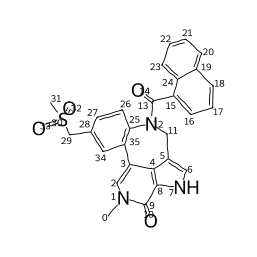 Cn1cc2c3c(c[nH]c3c1=O)CN(C(=O)c1cccc3ccccc13)c1ccc(CS(C)(=O)=O)cc1-2